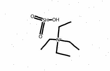 CC[N+](CC)(CC)CC.O=[SH](=O)O